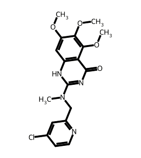 COc1cc2[nH]c(N(C)Cc3cc(Cl)ccn3)nc(=O)c2c(OC)c1OC